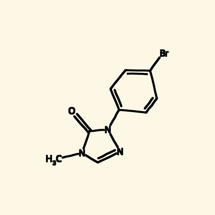 Cn1cnn(-c2ccc(Br)cc2)c1=O